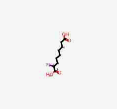 O=C(O)CCCCCCC(I)C(=O)O